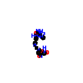 NC(=O)c1ncc(N2CCCCC2)nc1Nc1ccc(C2CCN(C[C@H]3C[C@H](n4ccc5c6c(C7CCC(=O)NC7=O)noc6ccc54)C3)CC2)cc1